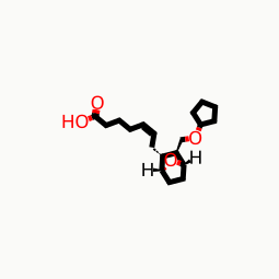 O=C(O)CCC/C=C\C[C@@H]1[C@@H](COC2CCCC2)[C@@H]2CC[C@H]1O2